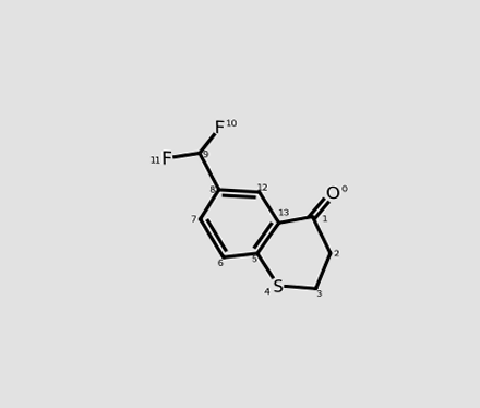 O=C1CCSc2ccc(C(F)F)cc21